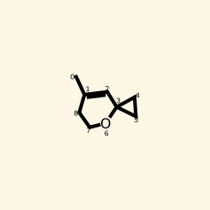 CC1=CC2(CC2)OCC1